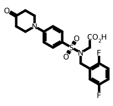 O=C(O)CN(Cc1cc(F)ccc1F)S(=O)(=O)c1ccc(N2CCC(=O)CC2)cc1